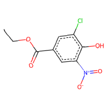 CCOC(=O)c1cc(Cl)c(O)c([N+](=O)[O-])c1